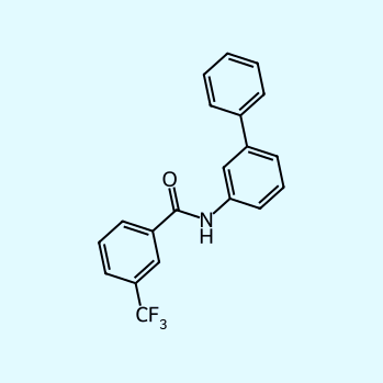 O=C(Nc1cccc(-c2ccccc2)c1)c1cccc(C(F)(F)F)c1